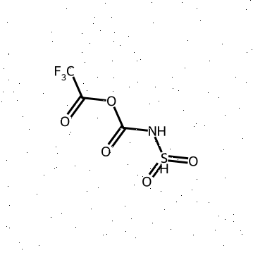 O=C(N[SH](=O)=O)OC(=O)C(F)(F)F